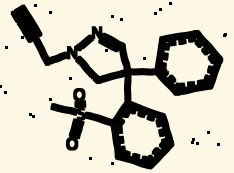 C#CCN1CC(c2ccccc2)(c2ccccc2S(C)(=O)=O)C=N1